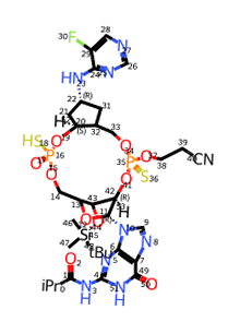 CC(C)C(=O)Nc1nc2c(ncn2[C@@H]2OC3COP(=O)(S)O[C@H]4C[C@H](Nc5ncncc5F)CC4COP(=S)(OCCC#N)O[C@@H]2C3O[Si](C)(C)C(C)(C)C)c(=O)[nH]1